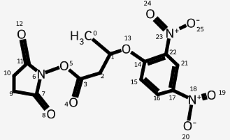 CC(CC(=O)ON1C(=O)CCC1=O)Oc1ccc([N+](=O)[O-])cc1[N+](=O)[O-]